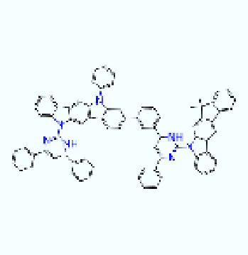 CC1(C)C2=CC3C(C=C2c2ccccc21)c1ccccc1N3C1=NC(c2ccccc2)=CC(c2cccc(-c3ccc4c5cc6c(cc5n(-c5ccccc5)c4c3)c3ccccc3n6C3=NC(C4=CC=CCC4)=CC(c4ccccc4)N3)c2)N1